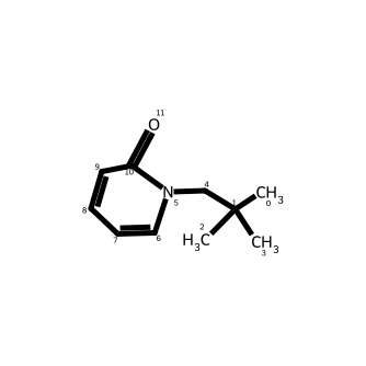 CC(C)(C)Cn1ccccc1=O